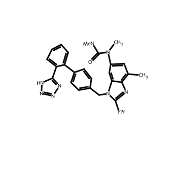 CCCc1nc2c(C)cc(N(C)C(=O)NC)cc2n1Cc1ccc(-c2ccccc2-c2nnn[nH]2)cc1